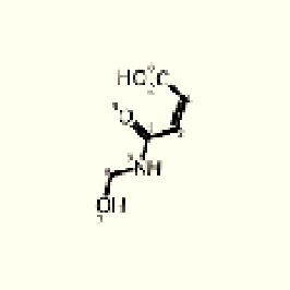 O=C(O)/C=C\C(=O)NCO